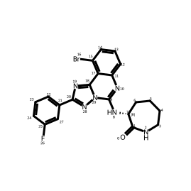 O=C1NCCCC[C@H]1Nc1nc2cccc(Br)c2c2nc(-c3cccc(F)c3)nn12